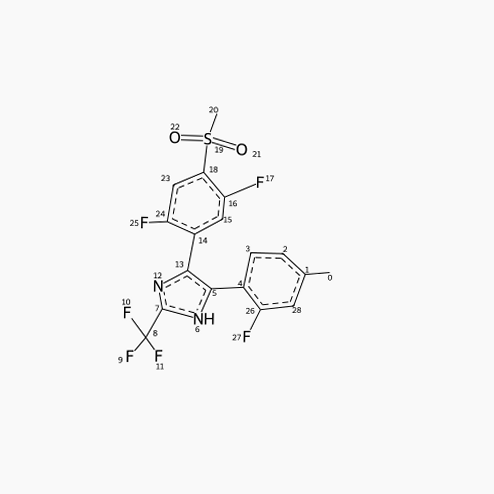 Cc1ccc(-c2[nH]c(C(F)(F)F)nc2-c2cc(F)c(S(C)(=O)=O)cc2F)c(F)c1